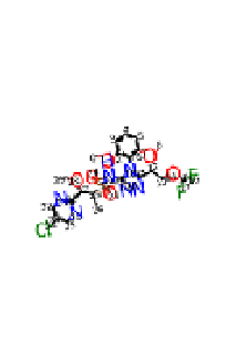 COc1cccc(OC)c1-n1c(CCOC(F)F)nnc1NS(=O)(=O)C(C)C(OC)c1ncc(Cl)cn1